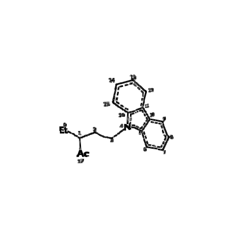 CCC(CCn1c2ccccc2c2ccccc21)C(C)=O